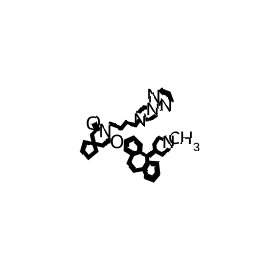 CN1CCC(=C2c3ccccc3C=Cc3ccccc32)CC1.O=C1CC2(CCCC2)CC(=O)N1CCCCN1CCN(c2ncccn2)CC1